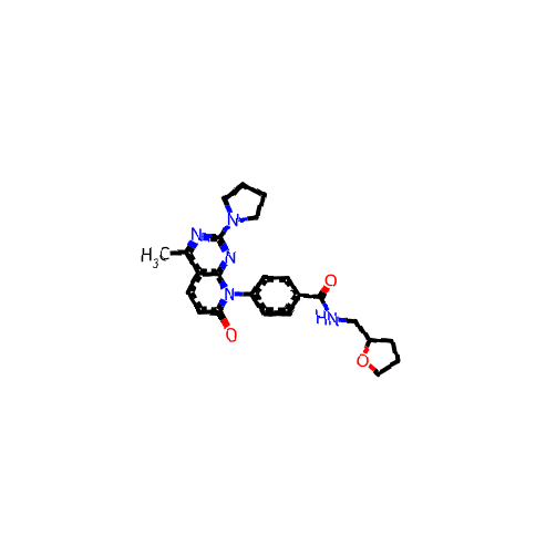 Cc1nc(N2CCCC2)nc2c1ccc(=O)n2-c1ccc(C(=O)NCC2CCCO2)cc1